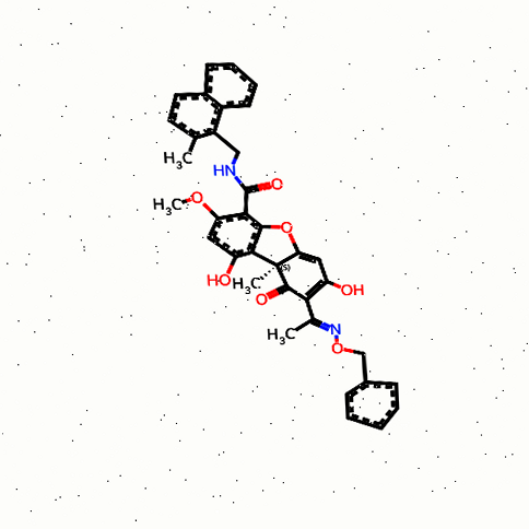 COc1cc(O)c2c(c1C(=O)NCc1c(C)ccc3ccccc13)OC1=CC(O)=C(C(C)=NOCc3ccccc3)C(=O)[C@]12C